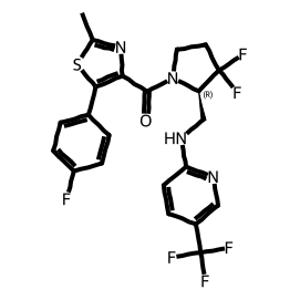 Cc1nc(C(=O)N2CCC(F)(F)[C@H]2CNc2ccc(C(F)(F)F)cn2)c(-c2ccc(F)cc2)s1